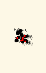 Cc1cc2c3c(c1)N(c1ccc(C(C)(C)C)cc1-c1ccccc1)c1cc(C(C)(C)C)ccc1B3c1ccc(N3c4cc(C)cc(C)c4C4(C)CCCCC34C)cc1N2c1ccc2sc3ccccc3c2c1